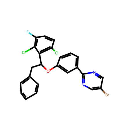 Fc1ccc(Cl)c(C(Cc2ccccc2)Oc2cccc(-c3ncc(Br)cn3)c2)c1Cl